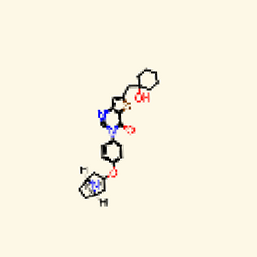 CN1[C@@H]2CC[C@H]1CC(Oc1ccc(-n3cnc4cc(CC5(O)CCCCC5)sc4c3=O)cc1)C2